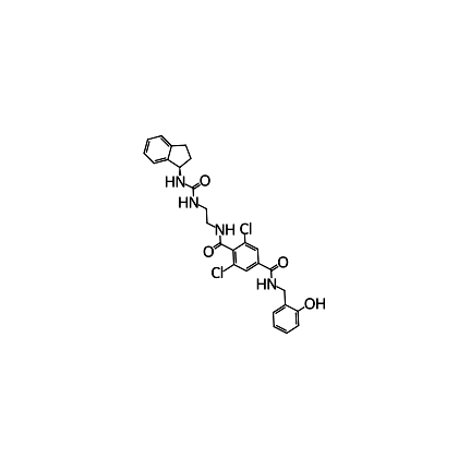 O=C(NCCNC(=O)c1c(Cl)cc(C(=O)NCc2ccccc2O)cc1Cl)N[C@@H]1CCc2ccccc21